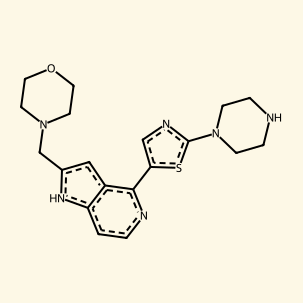 c1cc2[nH]c(CN3CCOCC3)cc2c(-c2cnc(N3CCNCC3)s2)n1